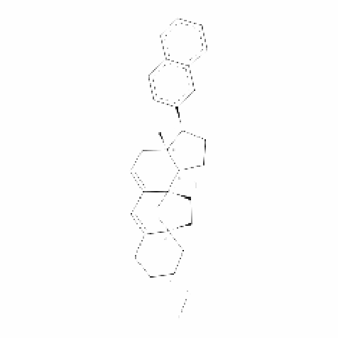 CC(C)N[C@@H]1CCC2=CC3=CC[C@]4(C)[C@@H](c5ccc6ccccc6c5)CC[C@H]4[C@@]34CC[C@]2(C1)O4